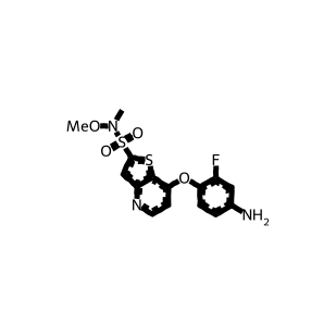 CON(C)S(=O)(=O)c1cc2nccc(Oc3ccc(N)cc3F)c2s1